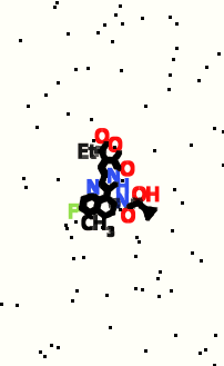 CC[C@H]1C(=O)OCc2c1cc1n(c2=O)Cc2c-1nc1cc(F)c(C)c3c1c2[C@@H](NC(=O)[C@H](O)C1CC1)CC3